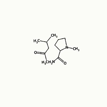 CC(=O)CC(C)C.CN1CCCC1C(N)=O